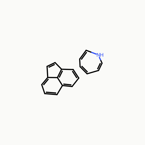 C1=CC=CNC=C1.C1=Cc2cccc3cccc1c23